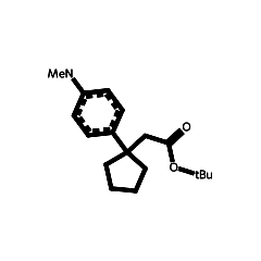 CNc1ccc(C2(CC(=O)OC(C)(C)C)CCCC2)cc1